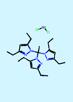 CCc1cc(CC)n(C(C)(n2nc(CC)cc2CC)n2nc(CC)cc2CC)n1.[Cl][Mn][Cl]